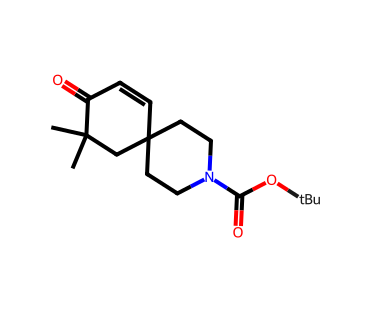 CC(C)(C)OC(=O)N1CCC2(C=CC(=O)C(C)(C)C2)CC1